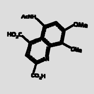 COc1cc(NC(C)=O)c2c(C(=O)O)cc(C(=O)O)nc2c1OC